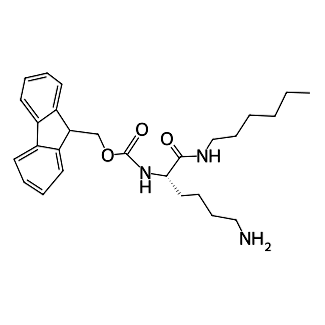 CCCCCCNC(=O)[C@H](CCCCN)NC(=O)OCC1c2ccccc2-c2ccccc21